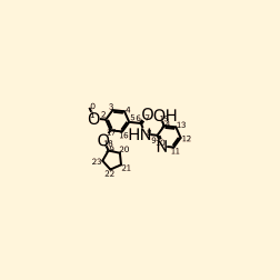 COc1ccc(C(=O)Nc2ncccc2O)cc1OC1CCCC1